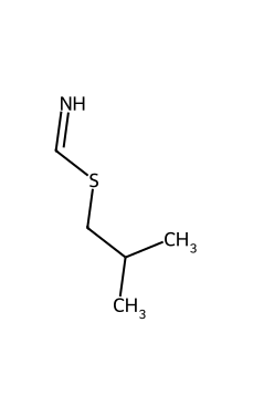 CC(C)CSC=N